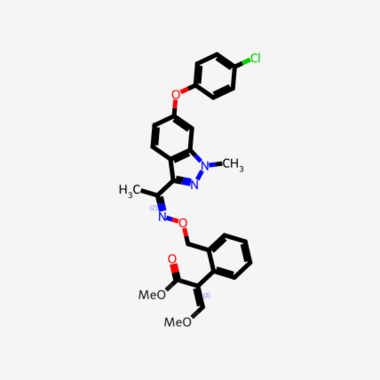 CO/C=C(\C(=O)OC)c1ccccc1CO/N=C(/C)c1nn(C)c2cc(Oc3ccc(Cl)cc3)ccc12